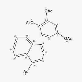 CC(=O)Oc1ccc(OC(C)=O)c(OC(C)=O)c1.CC(=O)c1cccc2ccccc12